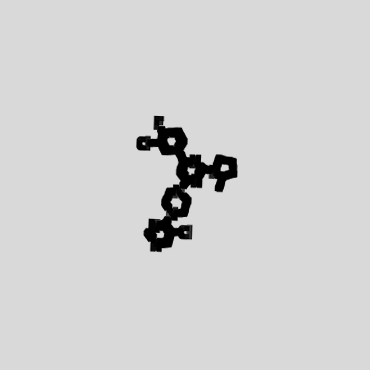 CC1CCCN1c1nc(-c2ccc(F)c(Cl)c2)cc(N2CCN(c3ncncc3Cl)CC2)n1